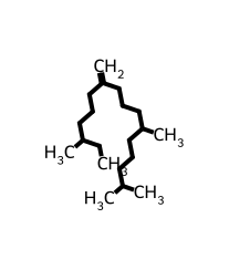 C=C(CCCC(C)CC)CCCC(C)CCCC(C)C